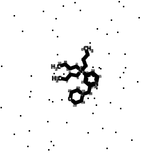 CCC[CH2][Sn]([CH2]CCC)([CH2]CCC)[c]1ccnc(CN2CCOCC2)c1